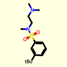 CN(C)CCN(C)S(=O)(=O)c1cccc(C(C)(C)C)c1